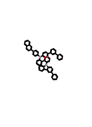 c1ccc(-c2cccc(-c3ccc(N(c4ccc(-c5ccc6ccccc6c5)cc4)c4ccccc4-c4ccccc4-n4c5ccccc5c5cc(-c6ccccc6)ccc54)cc3)c2)cc1